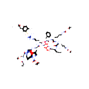 CC[C@H](C)[C@H](NC(=O)[C@H](CCCCNC(=O)OC(C)(C)C)NC(=O)[C@H](CCCCNC(=O)OC(C)(C)C)NC(=O)[C@H](Cc1ccccc1)NC(=O)[C@H](CC(C)C)NC(=O)[C@H](CCCNC(=N)NS(=O)(=O)c1c(C)c(C)c2c(c1C)CC(C)(C)O2)NC(=O)[C@H](Cc1cn(C(=O)OC(C)(C)C)c2ccccc12)NC(=O)CNC(=O)[C@H](COC(C)(C)C)NC(=O)[C@@H](N)C(C)C)C(=O)N[C@@H](COC(C)(C)C)C(=O)O